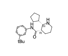 CC(C)(C)c1cccc(NC(=O)[C@H]2CCCN[C@H]2C2CCCC2)c1